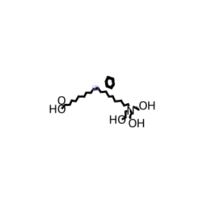 O=C(O)CCCCCCC/C=C\CCCCCCCC[N+](CCO)(CCO)CCO.c1ccccc1